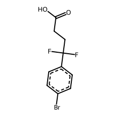 O=C(O)CCC(F)(F)c1ccc(Br)cc1